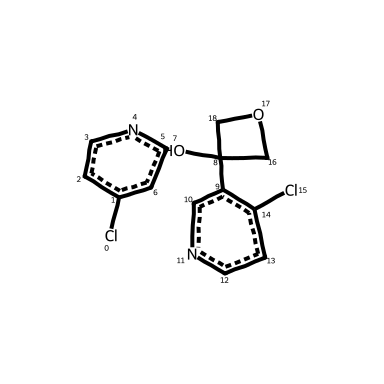 Clc1ccncc1.OC1(c2cnccc2Cl)COC1